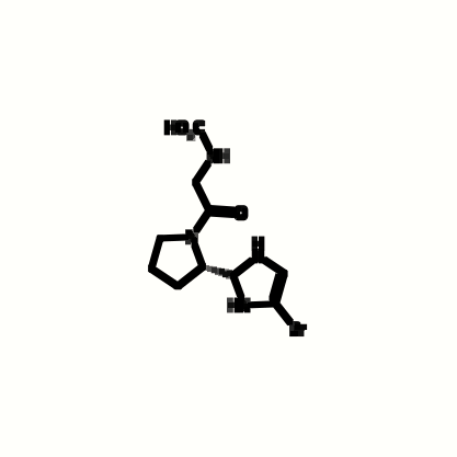 O=C(O)NCC(=O)N1CCC[C@H]1C1NC=C(Br)N1